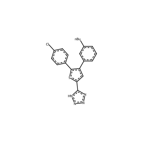 CCCCc1cccc(-c2cc(-c3nnn[nH]3)sc2-c2ccc(Cl)cc2)c1